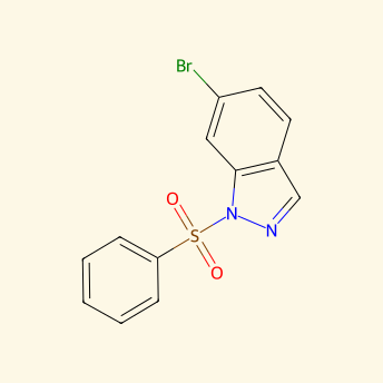 O=S(=O)(c1ccccc1)n1ncc2ccc(Br)cc21